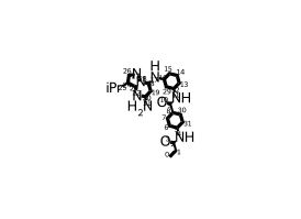 C=CC(=O)Nc1ccc(C(=O)Nc2cccc(Nc3cc(N)nc4c(C(C)C)cnn34)c2)cc1